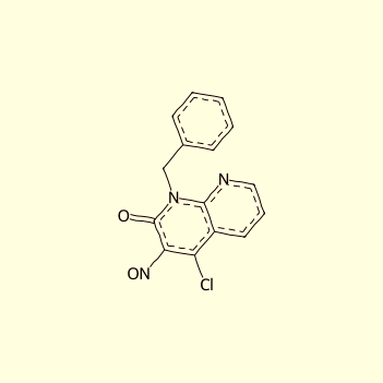 O=Nc1c(Cl)c2cccnc2n(Cc2ccccc2)c1=O